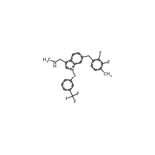 CNCc1cn(Sc2cccc(C(F)(F)F)c2)c2cc(Cc3ccc(C)c(F)c3F)ccc12